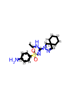 CCN/C(=N\S(=O)(=O)c1ccc(N)cc1)N1CC2(C=N1)CCCCC2